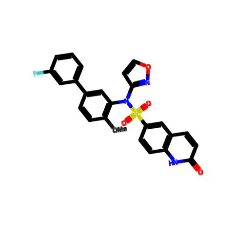 COc1ccc(-c2cccc(F)c2)cc1N(c1ccon1)S(=O)(=O)c1ccc2[nH]c(=O)ccc2c1